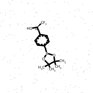 CC1(C)OB(c2ccc([C@@H](O)C(F)(F)F)cc2)OC1(C)C